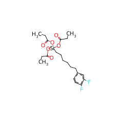 CCC(=O)O[Si](CCCCCCc1ccc(F)c(F)c1)(OC(=O)CC)OC(=O)CC